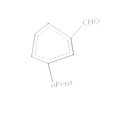 CCCCCc1cccc(C=O)c1